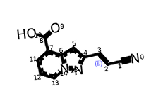 N#C/C=C/c1cc2c(C(=O)O)cccn2n1